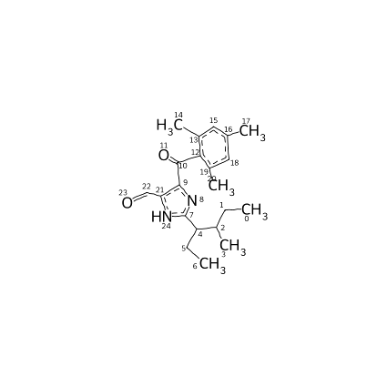 CCC(C)C(CC)c1nc(C(=O)c2c(C)cc(C)cc2C)c(C=O)[nH]1